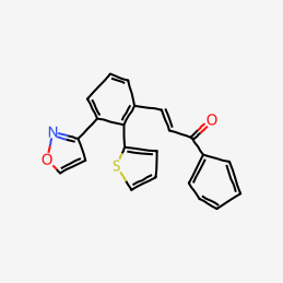 O=C(C=Cc1cccc(-c2ccon2)c1-c1cccs1)c1ccccc1